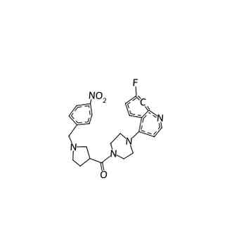 O=C(C1CCN(Cc2ccc([N+](=O)[O-])cc2)C1)N1CCN(c2ccnc3cc(F)ccc23)CC1